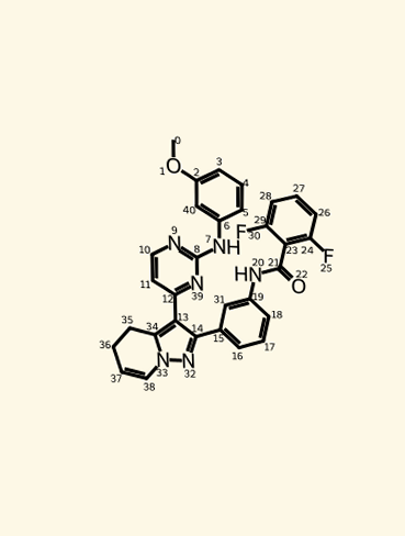 COc1cccc(Nc2nccc(-c3c(-c4cccc(NC(=O)c5c(F)cccc5F)c4)nn4c3CCC=C4)n2)c1